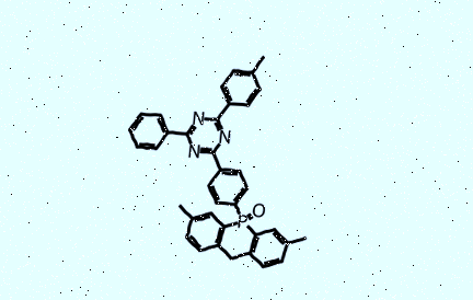 Cc1ccc(-c2nc(-c3ccccc3)nc(-c3ccc(P4(=O)c5cc(C)ccc5Cc5ccc(C)cc54)cc3)n2)cc1